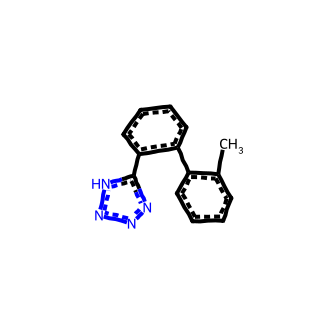 Cc1ccccc1-c1ccccc1-c1nnn[nH]1